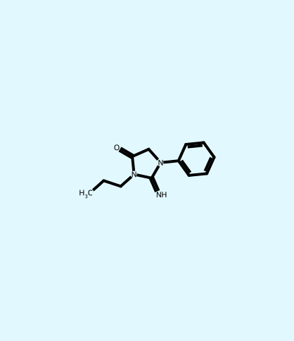 CCCN1C(=N)N(c2ccccc2)CC1=O